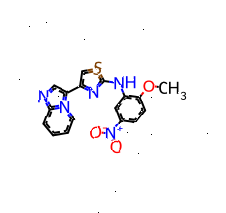 COc1ccc([N+](=O)[O-])cc1Nc1nc(-c2cnc3ccccn23)cs1